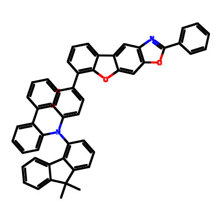 CC1(C)c2ccccc2-c2c(N(c3ccc(-c4cccc5c4oc4cc6oc(-c7ccccc7)nc6cc45)cc3)c3ccccc3-c3ccccc3)cccc21